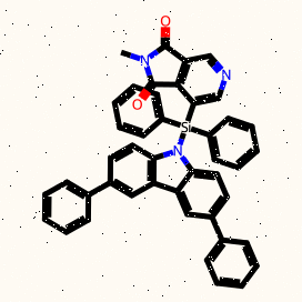 CN1C(=O)c2cncc([Si](c3ccccc3)(c3ccccc3)n3c4ccc(-c5ccccc5)cc4c4cc(-c5ccccc5)ccc43)c2C1=O